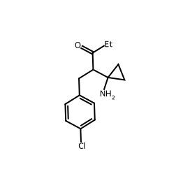 CCC(=O)C(Cc1ccc(Cl)cc1)C1(N)CC1